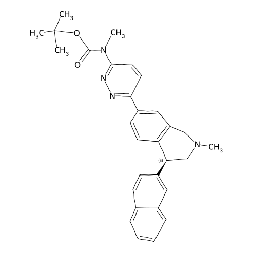 CN1Cc2cc(-c3ccc(N(C)C(=O)OC(C)(C)C)nn3)ccc2[C@H](c2ccc3ccccc3c2)C1